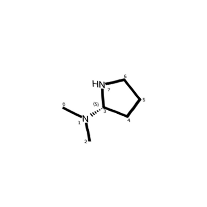 CN(C)[C@H]1CCCN1